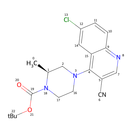 C[C@H]1CN(c2c(C#N)cnc3ccc(Cl)cc23)CCN1C(=O)OC(C)(C)C